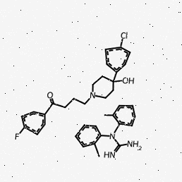 Cc1ccccc1N(C(=N)N)c1ccccc1C.O=C(CCCN1CCC(O)(c2ccc(Cl)cc2)CC1)c1ccc(F)cc1